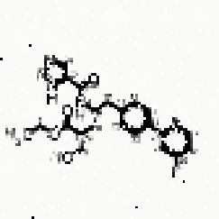 CCOC(=O)[C@H](CO)C[C@@H](Cc1ccc(-c2cccc(F)c2)cc1)NC(=O)c1cnn[nH]1